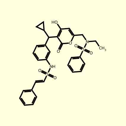 CCN(Cc1cc(O)c(C(c2cccc(NS(=O)(=O)C=Cc3ccccc3)c2)C2CC2)c(=O)o1)S(=O)(=O)c1ccccc1